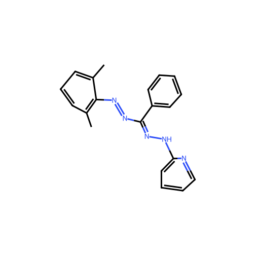 Cc1cccc(C)c1/N=N/C(=N/Nc1ccccn1)c1ccccc1